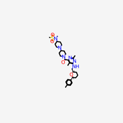 Cc1ccc([C@@H]2CCC[C@H](CNc3nc(C)nc(C(=O)N4CCC(N5CCC(N(C)S(C)(=O)=O)CC5)CC4)c3C)O2)cc1